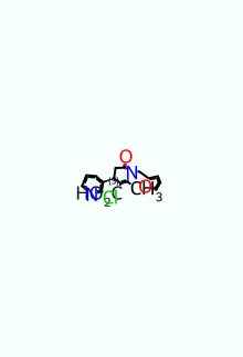 CC1=C(C(=O)O)[C@@H](c2cccnc2Cl)CC(=O)N1Cc1ccco1